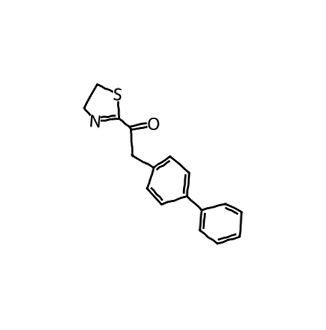 O=C(Cc1ccc(-c2ccccc2)cc1)C1=NCCS1